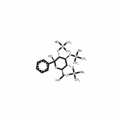 CC(C)(C)[Si](C)(C)O[C@H]1[C@H](O[Si](C)(C)C(C)(C)C)[C@@H](CO)O[C@](O)(c2ccccc2)[C@@H]1O[Si](C)(C)C(C)(C)C